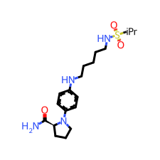 CC(C)S(=O)(=O)NCCCCCNc1ccc(N2CCC[C@H]2C(N)=O)cc1